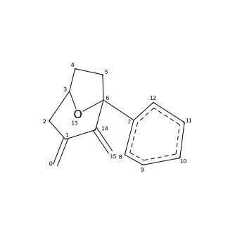 C=C1CC2CCC(c3ccccc3)(O2)C1=C